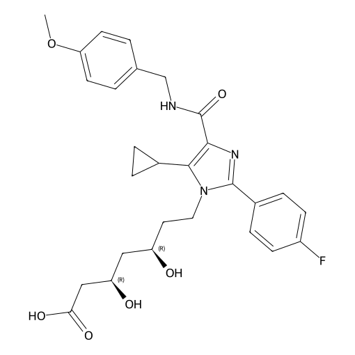 COc1ccc(CNC(=O)c2nc(-c3ccc(F)cc3)n(CC[C@@H](O)C[C@@H](O)CC(=O)O)c2C2CC2)cc1